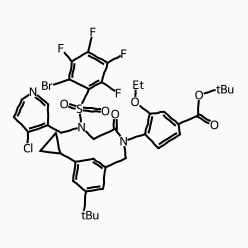 CCOc1cc(C(=O)OC(C)(C)C)ccc1N(Cc1cc(C2CC2)cc(C(C)(C)C)c1)C(=O)CN(Cc1cnccc1Cl)S(=O)(=O)c1c(F)c(F)c(F)c(F)c1Br